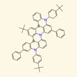 CC(C)(C)C1=CCC(N2c3ccccc3B3c4cc(C(C)(C)C)cc5c4N(c4cccc6c4B5c4ccc(-c5ccccc5)cc4N6c4ccc(C(C)(C)C)cc4)c4cc(-c5ccccc5)cc2c43)C=C1